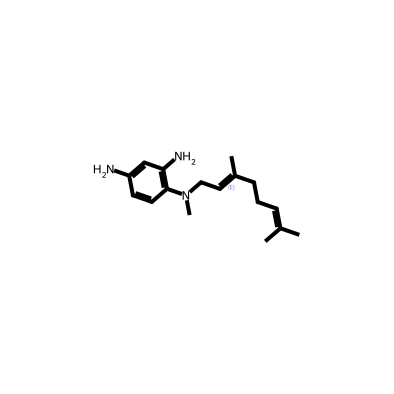 CC(C)=CCC/C(C)=C/CN(C)c1ccc(N)cc1N